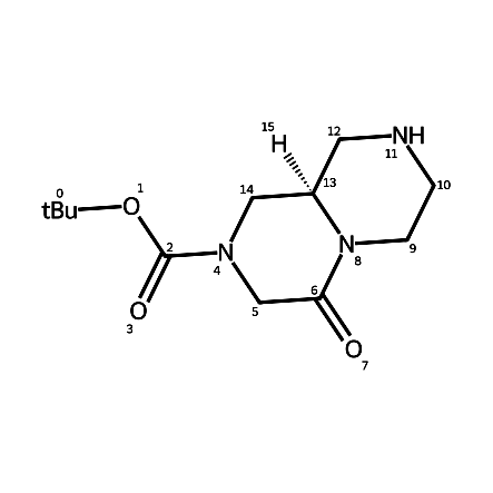 CC(C)(C)OC(=O)N1CC(=O)N2CCNC[C@@H]2C1